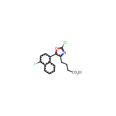 CCOC(=O)CCCc1nc(Cl)oc1-c1ccc(F)c2ccccc12